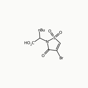 CCCCC(C(=O)O)N1C(=O)C(Br)=CS1(=O)=O